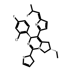 CC[C@H]1CC2=C(C3=N/C(=C\C(C)F)C=C3)[C@H](c3ccc(F)cc3Cl)N=C(C3CC=CS3)N2C1